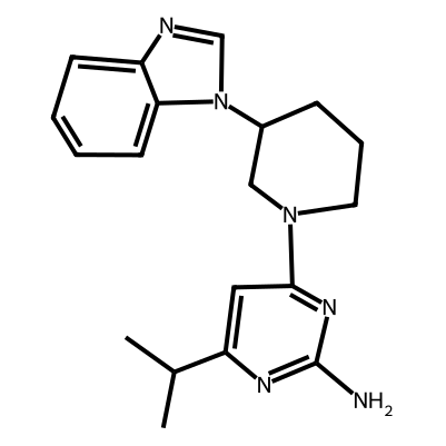 CC(C)c1cc(N2CCCC(n3cnc4ccccc43)C2)nc(N)n1